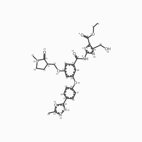 CCOC(=O)c1sc(NC(=O)c2cc(OCC3CCN(C)C3=O)cc(Oc3ccc(-c4nnc(C)o4)cc3)c2)nc1CO